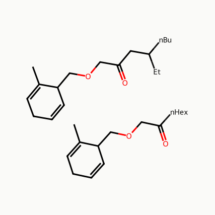 CCCCC(CC)CC(=O)COCC1C=CCC=C1C.CCCCCCC(=O)COCC1C=CCC=C1C